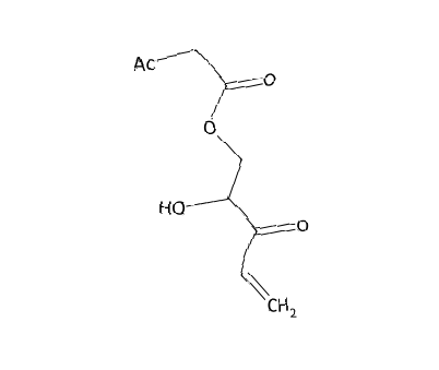 C=CC(=O)C(O)COC(=O)CC(C)=O